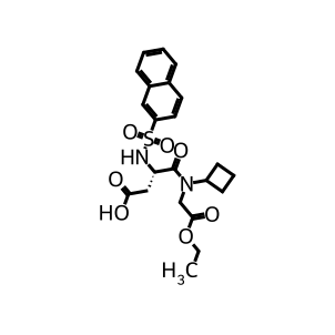 CCOC(=O)CN(C(=O)[C@H](CC(=O)O)NS(=O)(=O)c1ccc2ccccc2c1)C1CCC1